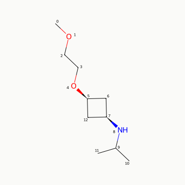 COCCO[C@H]1C[C@@H](NC(C)C)C1